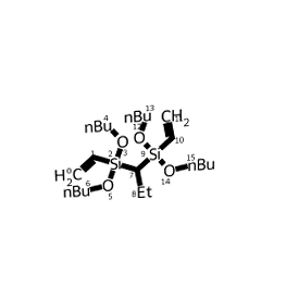 C=C[Si](OCCCC)(OCCCC)C(CC)[Si](C=C)(OCCCC)OCCCC